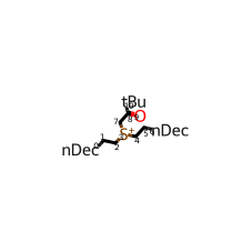 CCCCCCCCCCCC[S+](CCCCCCCCCCCC)CC(=O)C(C)(C)C